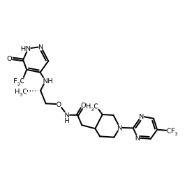 CC1CN(c2ncc(C(F)(F)F)cn2)CCC1CC(=O)NOC[C@H](C)Nc1cn[nH]c(=O)c1C(F)(F)F